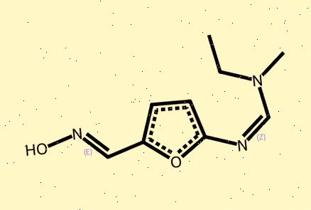 CCN(C)/C=N\c1ccc(/C=N/O)o1